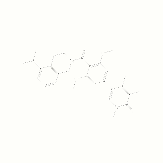 COc1cc(-c2cn(C)c(=O)c(C)c2C)cc(OC)c1C(=O)N1CCc2c(cccc2C(C)C)C1